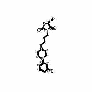 CCCC1SC(=O)N(CCCCN2CCN(c3cccc(Cl)c3)CC2)C1=O